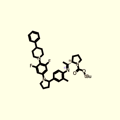 C/C(=N\c1ccc(C2CCCN2c2cc(F)c(N3CCC(c4ccccc4)CC3)c(F)c2)cc1C)[C@@H]1CCCN1C(=O)OC(C)(C)C